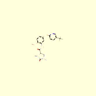 COc1ccc(Oc2ccc(C(F)(F)F)cn2)cc1NC(=O)C1CN(C)C(=O)N1C